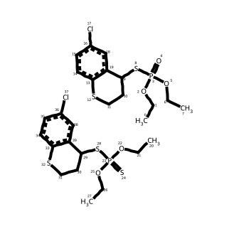 CCOP(=O)(OCC)SC1CCSc2ccc(Cl)cc21.CCOP(=S)(OCC)SC1CCSc2ccc(Cl)cc21